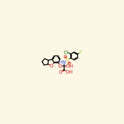 O=C(O)C(O)(NS(=O)(=O)c1ccc(F)cc1Cl)Oc1cccc2c1OC1CCCC21